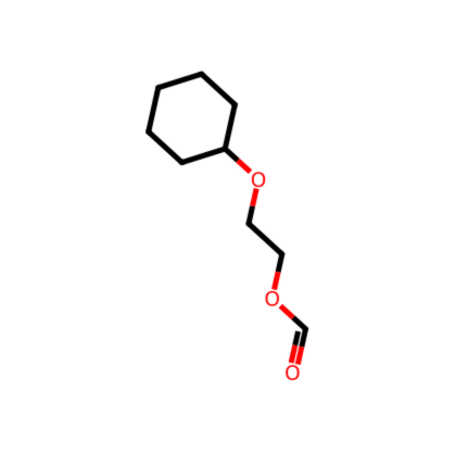 O=COCCOC1CCCCC1